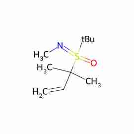 C=CC(C)(C)S(=O)(=NC)C(C)(C)C